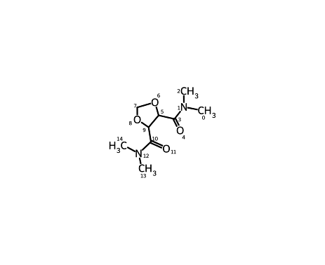 CN(C)C(=O)C1OCOC1C(=O)N(C)C